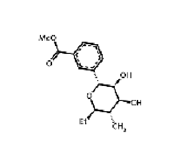 CC[C@H]1O[C@H](c2cccc(C(=O)OC)c2)[C@@H](O)[C@@H](O)[C@@H]1C